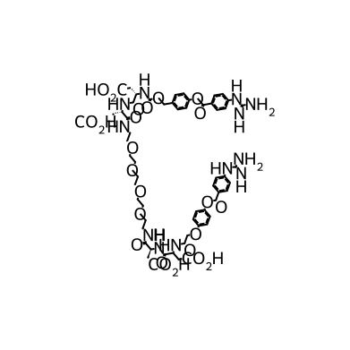 N=C(N)Nc1ccc(C(=O)Oc2ccc(COC(=O)N[C@@H](CC(=O)O)C(=O)N[C@@H](CC(=O)O)C(=O)NCCOCCOCCOCCOCCNC(=O)[C@H](CC(=O)O)NC(=O)C(CC(=O)O)NC(=O)COc3ccc(OC(=O)c4ccc(NC(=N)N)cc4)cc3)cc2)cc1